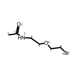 CC(=O)NCCOCCBr